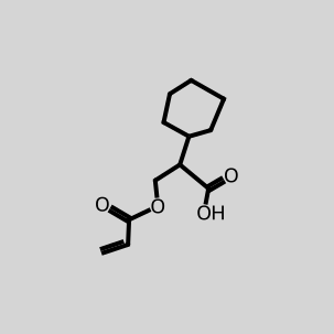 C=CC(=O)OCC(C(=O)O)C1CCCCC1